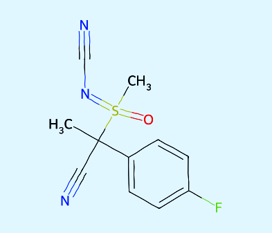 CC(C#N)(c1ccc(F)cc1)S(C)(=O)=NC#N